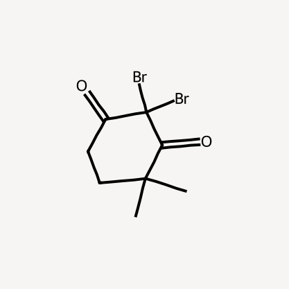 CC1(C)CCC(=O)C(Br)(Br)C1=O